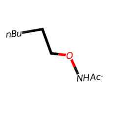 CCCCCCO[N]C(C)=O